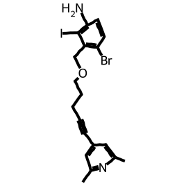 Cc1cc(C#CCCCOCc2c(Br)ccc(N)c2I)cc(C)n1